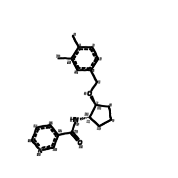 Cc1ccc(CO[C@H]2CCC[C@@H]2NC(=O)c2cccnc2)cc1C